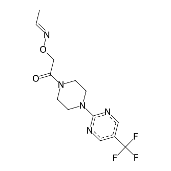 CC=NOCC(=O)N1CCN(c2ncc(C(F)(F)F)cn2)CC1